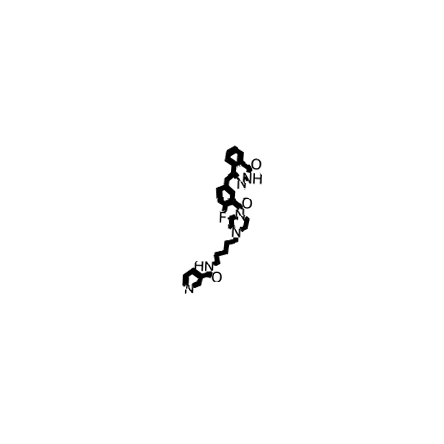 O=C(NCCCCCN1CCN(C(=O)c2cc(Cc3n[nH]c(=O)c4ccccc34)ccc2F)CC1)c1cccnc1